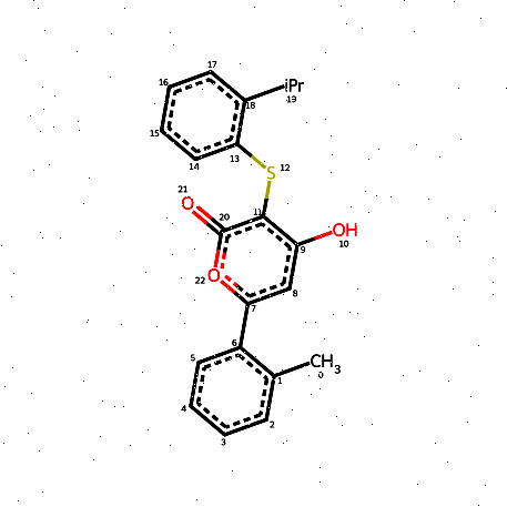 Cc1ccccc1-c1cc(O)c(Sc2ccccc2C(C)C)c(=O)o1